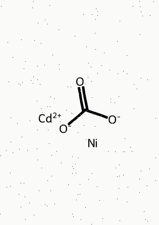 O=C([O-])[O-].[Cd+2].[Ni]